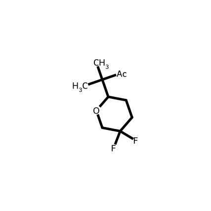 CC(=O)C(C)(C)C1CCC(F)(F)CO1